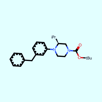 CC(C)[C@H]1CN(C(=O)OC(C)(C)C)CCN1c1cccc(Cc2ccccc2)c1